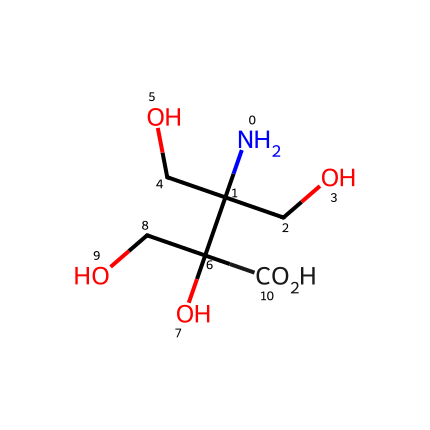 NC(CO)(CO)C(O)(CO)C(=O)O